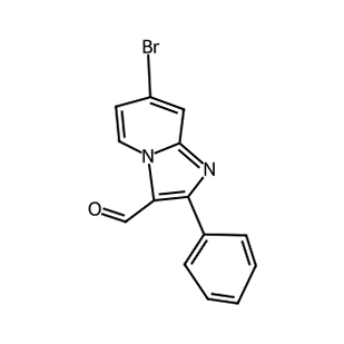 O=Cc1c(-c2ccccc2)nc2cc(Br)ccn12